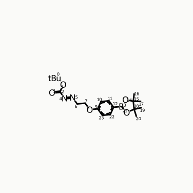 CC(C)(C)OC(=O)N=NCCOc1ccc(B2OC(C)(C)C(C)(C)O2)cc1